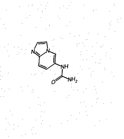 NC(=O)Nc1ccc2nccn2c1